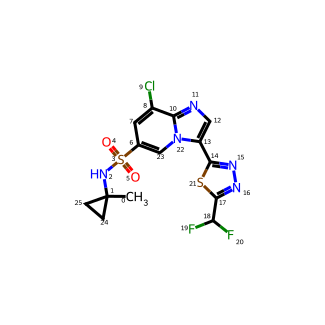 CC1(NS(=O)(=O)c2cc(Cl)c3ncc(-c4nnc(C(F)F)s4)n3c2)CC1